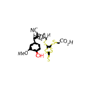 COc1cc(C=C(C#N)C(=O)O)ccc1O.O=C(O)CSc1sc(=S)sc1SCC(=O)O